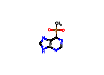 CS(=O)(=O)c1ncnc2[nH]cnc12